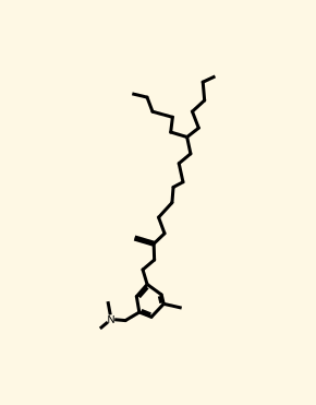 C=C(CCCCCCCC(CCCCC)CCCCC)CCc1cc(C)cc(CN(C)C)c1